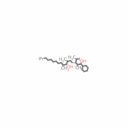 CC(C)CCCCCCC[C@@H](C)C(O)C(C)CC[C@@H](C(C)C(O)C1CCCCC1)[C@@H](C)I